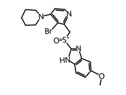 COc1ccc2[nH]c([S+]([O-])Cc3nccc(N4CCCCC4)c3Br)nc2c1